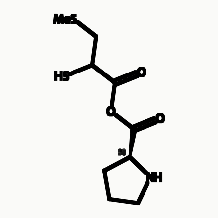 CSCC(S)C(=O)OC(=O)[C@@H]1CCCN1